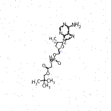 C[C@H]1C/C(=C\O[PH](=O)NCC(=O)OCC(C)(C)C)O[C@H]1n1cnc2c(N)ncnc21